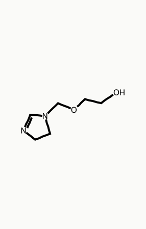 OCCOCN1C=NCC1